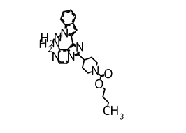 CCCCOC(=O)N1CCC(c2nc(-c3cc4ccccc4n3N)c3c(N)nccn23)CC1